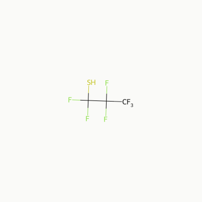 FC(F)(F)C(F)(F)C(F)(F)S